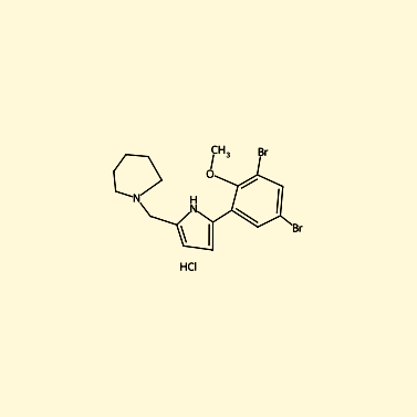 COc1c(Br)cc(Br)cc1-c1ccc(CN2CCCCC2)[nH]1.Cl